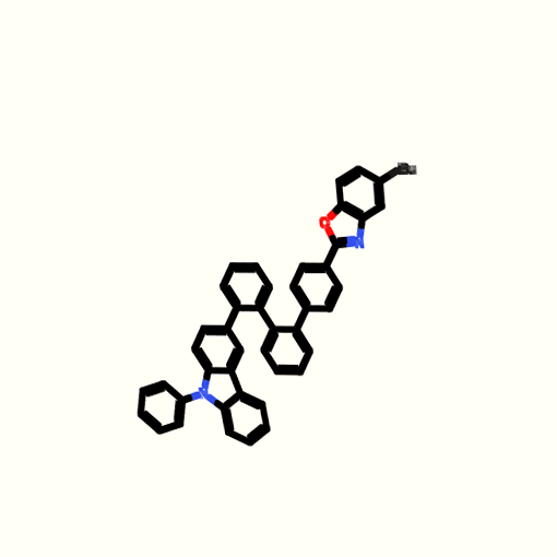 CCC(C)c1ccc2oc(-c3ccc(-c4ccccc4-c4ccccc4-c4ccc5c(c4)c4ccccc4n5-c4ccccc4)cc3)nc2c1